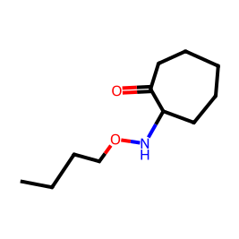 CCCCONC1CCCCCC1=O